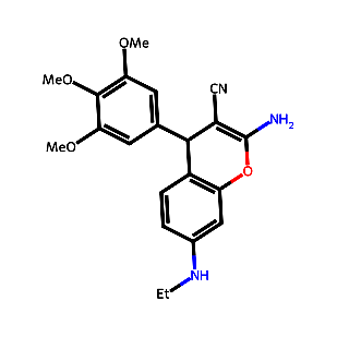 CCNc1ccc2c(c1)OC(N)=C(C#N)C2c1cc(OC)c(OC)c(OC)c1